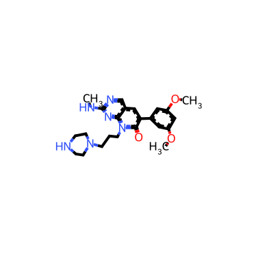 CNc1ncc2cc(-c3cc(OC)cc(OC)c3)c(=O)n(CCCN3CCNCC3)c2n1